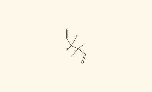 O=CC(F)(F)C(F)(F)C=O